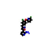 Nc1ncccc1-c1cc(Cc2ccc(Oc3cccc(F)n3)c(F)c2)no1